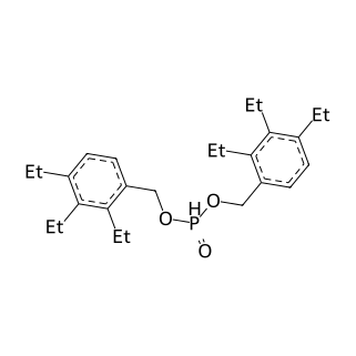 CCc1ccc(CO[PH](=O)OCc2ccc(CC)c(CC)c2CC)c(CC)c1CC